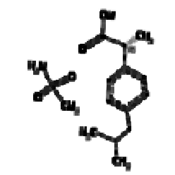 CC(C)Cc1ccc([C@@H](C)C(=O)O)cc1.CS(N)(=O)=O